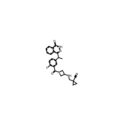 CC(c1ccc(F)c(C(=O)N2CC(NCC3(C#N)CC3)C2)c1)c1n[nH]c(=O)c2ccccc12